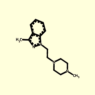 Cc1nn(CCN2CCN(C)CC2)c2ccccc12